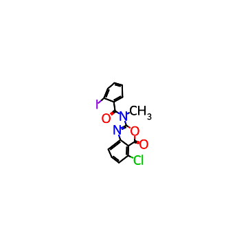 CN(C(=O)c1ccccc1I)c1nc2cccc(Cl)c2c(=O)o1